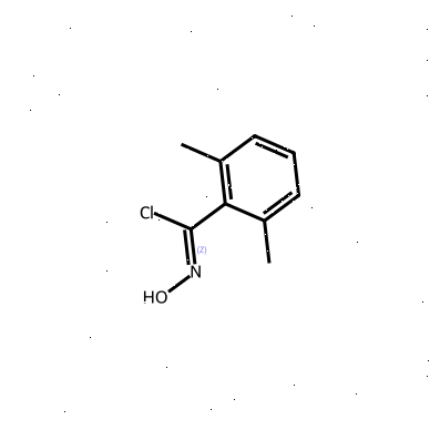 Cc1cccc(C)c1/C(Cl)=N/O